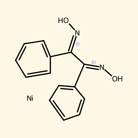 O/N=C(/C(=N/O)c1ccccc1)c1ccccc1.[Ni]